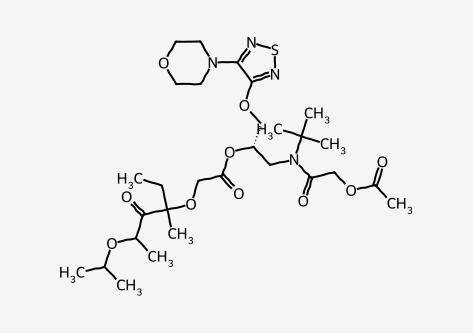 CCC(C)(OCC(=O)O[C@H](COc1nsnc1N1CCOCC1)CN(C(=O)COC(C)=O)C(C)(C)C)C(=O)C(C)OC(C)C